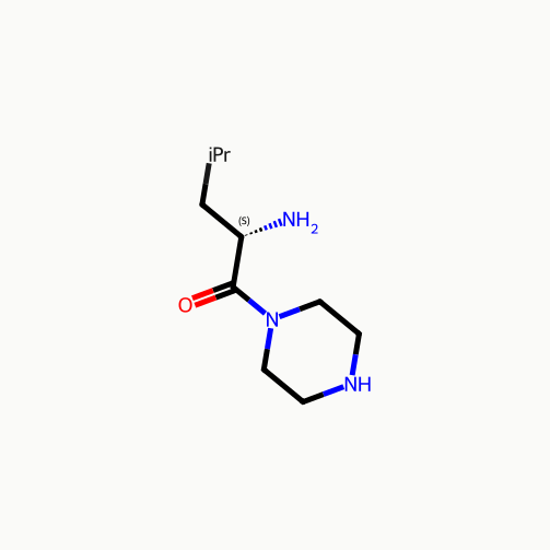 CC(C)C[C@H](N)C(=O)N1CCNCC1